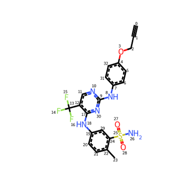 C#CCOc1ccc(Nc2ncc(C(F)(F)F)c(Nc3ccc(C)c(S(N)(=O)=O)c3)n2)cc1